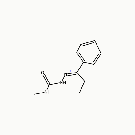 CC/C(=N\NC(=O)NC)c1ccccc1